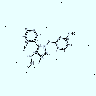 CN1Cc2nn(Cc3cccc(O)c3)c(-c3ccccc3F)c2C1